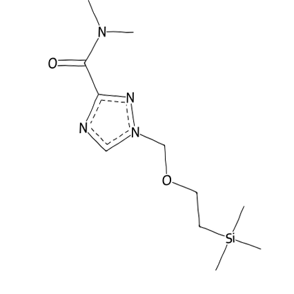 CN(C)C(=O)c1ncn(COCC[Si](C)(C)C)n1